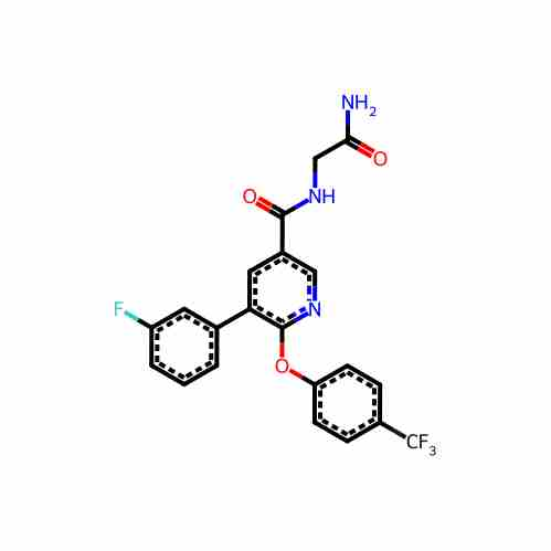 NC(=O)CNC(=O)c1cnc(Oc2ccc(C(F)(F)F)cc2)c(-c2cccc(F)c2)c1